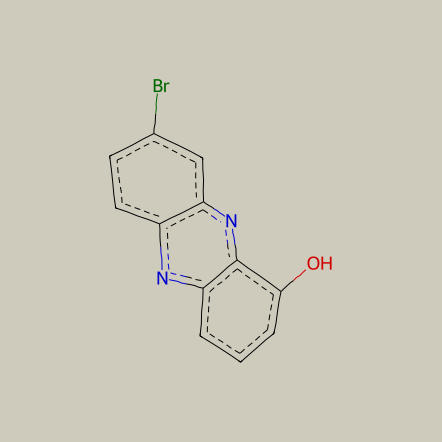 Oc1cccc2nc3ccc(Br)cc3nc12